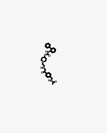 CC(=O)NCc1ccc(C(=O)CNCCN2CCC(OC(=O)Nc3ccccc3-c3ccccc3)CC2)cc1